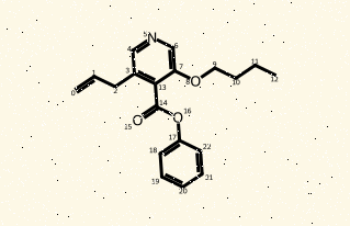 C=CCc1cncc(OCCCC)c1C(=O)Oc1ccccc1